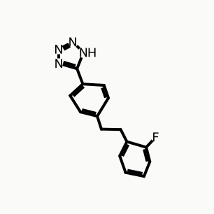 Fc1ccccc1CCc1ccc(-c2nnn[nH]2)cc1